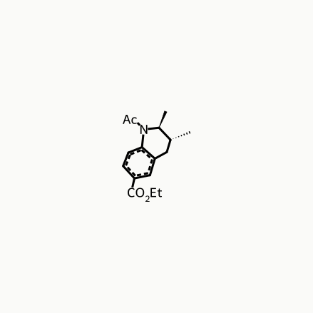 CCOC(=O)c1ccc2c(c1)C[C@@H](C)[C@H](C)N2C(C)=O